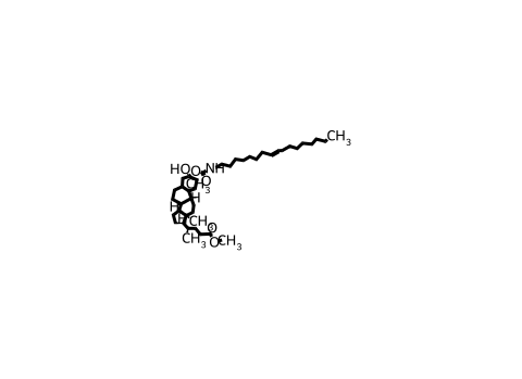 CCCCCCCCC=CCCCCCCCCNC(=O)O[C@@]1(O)CC[C@@]2(C)C(CC[C@H]3[C@@H]4CC[C@H]([C@H](C)CCC(=O)OC)[C@@]4(C)CC[C@@H]32)C1